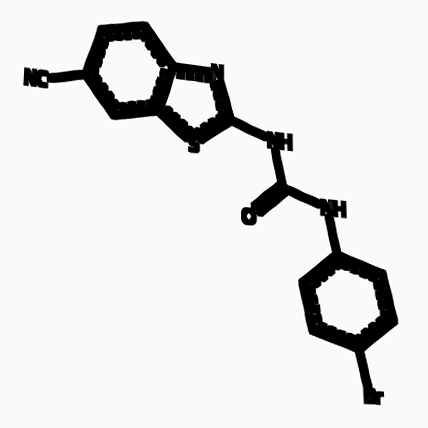 N#Cc1ccc2nc(NC(=O)Nc3ccc(Br)cc3)sc2c1